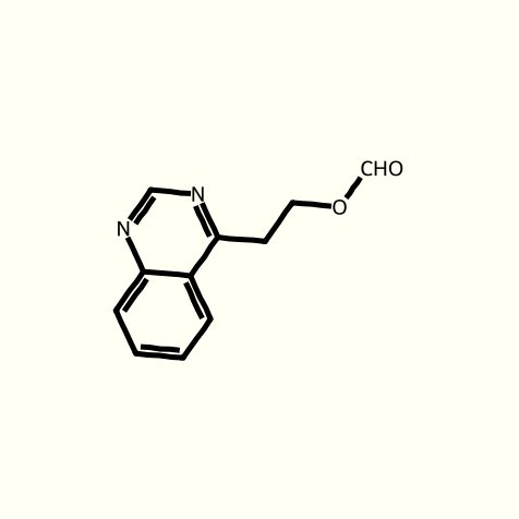 O=COCCc1ncnc2ccccc12